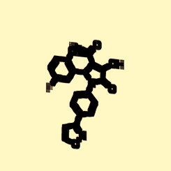 COc1ccc(F)cc1C1C(C(=O)C(C)C)=C(O)C(=O)N1c1ccc(-c2ccon2)cc1